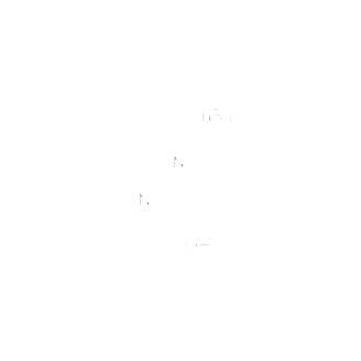 CCCCCn1ccnc1CO